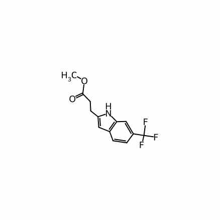 COC(=O)CCc1cc2ccc(C(F)(F)F)cc2[nH]1